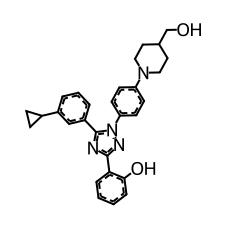 OCC1CCN(c2ccc(-n3nc(-c4ccccc4O)nc3-c3cccc(C4CC4)c3)cc2)CC1